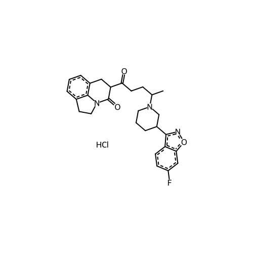 CC(CCC(=O)C1Cc2cccc3c2N(CC3)C1=O)N1CCCC(c2noc3cc(F)ccc23)C1.Cl